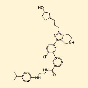 CC(C)c1ccc(NCCNC(=O)c2cccc(-c3cc(-c4nn(CCCN5CCC(O)C5)c5c4CNCC5)ccc3Cl)c2)cc1